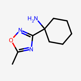 Cc1nc(C2(N)CCCCC2)no1